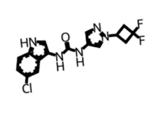 O=C(Nc1cnn(C2CC(F)(F)C2)c1)Nc1c[nH]c2ccc(Cl)cc12